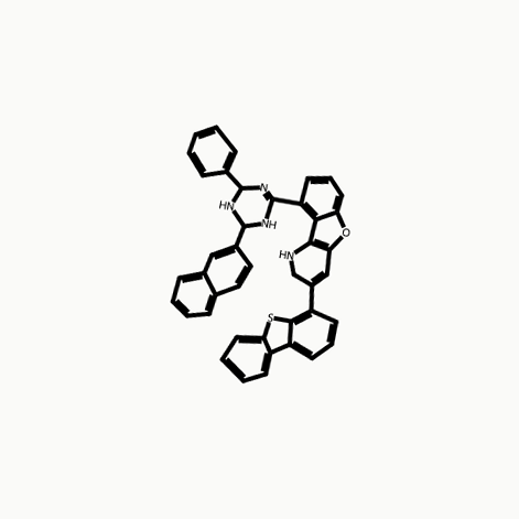 C1=C(c2cccc3c2sc2ccccc23)CNc2c1oc1cccc(C3=NC(c4ccccc4)NC(c4ccc5ccccc5c4)N3)c21